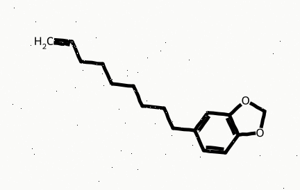 C=CCCCCCCCc1ccc2c(c1)OCO2